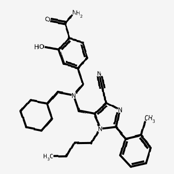 CCCCn1c(-c2ccccc2C)nc(C#N)c1CN(Cc1ccc(C(N)=O)c(O)c1)CC1CCCCC1